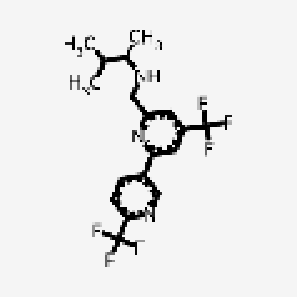 CC(C)[C@@H](C)NCc1cc(C(F)(F)F)cc(-c2ccc(C(F)(F)F)nc2)n1